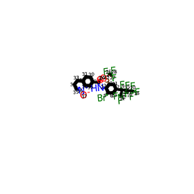 O=C(Nc1c(Br)cc(C(F)(C(F)(F)F)C(F)(F)C(F)(F)F)cc1[S+]([O-])C(F)(F)F)c1ccc2ccc[n+]([O-])c2c1